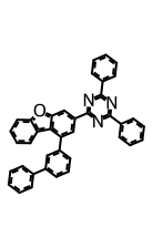 c1ccc(-c2cccc(-c3cc(-c4nc(-c5ccccc5)nc(-c5ccccc5)n4)cc4oc5ccccc5c34)c2)cc1